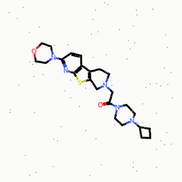 O=C(CN1CCc2c(sc3nc(N4CCOCC4)ccc23)C1)N1CCN(C2CCC2)CC1